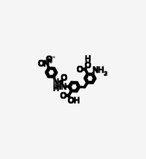 Nc1ccc(Cc2ccc(NC(=O)Nc3ccc([N+](=O)[O-])cc3)c(C(=O)O)c2)cc1C(=O)O